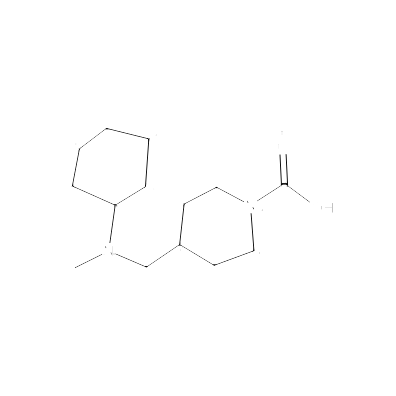 CN(CC1CCN(C(=O)O)CC1)C1CCCCC1